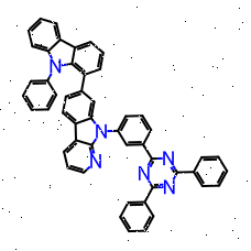 c1ccc(-c2nc(-c3ccccc3)nc(-c3cccc(-n4c5cc(-c6cccc7c8ccccc8n(-c8ccccc8)c67)ccc5c5cccnc54)c3)n2)cc1